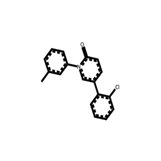 Cc1cccc(-n2cc(-c3ccccc3Cl)ccc2=O)c1